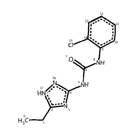 CCc1nc(NC(=O)Nc2ccccc2Cl)n[nH]1